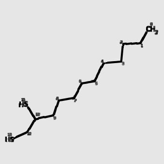 CCCCCCCCCCC(S)CS